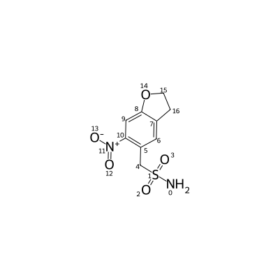 NS(=O)(=O)Cc1cc2c(cc1[N+](=O)[O-])OCC2